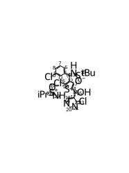 CC(C)(C)[S+]([O-])N[C@@H](c1cccc(Cl)c1)c1cc([C@H](O)c2cncnc2Cl)sc1Cl.CC(C)[S+](N)[O-]